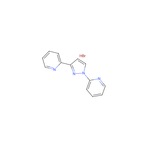 Br.c1ccc(-c2ccn(-c3ccccn3)n2)nc1